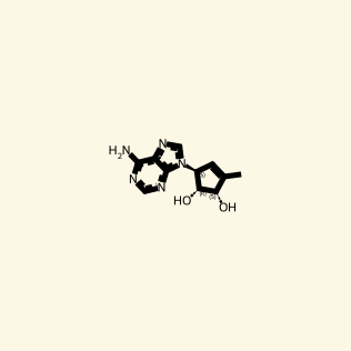 CC1=C[C@H](n2cnc3c(N)ncnc32)[C@@H](O)[C@H]1O